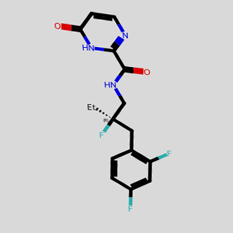 CC[C@](F)(CNC(=O)c1nccc(=O)[nH]1)Cc1ccc(F)cc1F